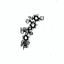 CN(C(=O)c1cc(CC2(C)NC(=O)N(c3ccc(S(=O)(=O)C(F)(F)F)cc3)C2=O)ccn1)c1ccc(Cl)cc1